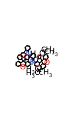 CC(C)(C)c1ccc2c(c1)C1(C3=CC=CCC3(C)c3c(N(c4cccc(-n5c6ccccc6c6ccccc65)c4)c4ccc5c(c4)C(c4ccccc4)(c4ccccc4)c4ccccc4O5)cccc31)c1cc(C(C)(C)C)ccc1O2